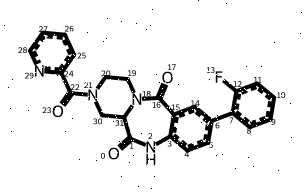 O=C1Nc2ccc(-c3ccccc3F)cc2C(=O)N2CCN(C(=O)c3ccccn3)CC12